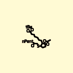 CCCCCC(=O)CSC1CCC2(OC(C)O2)C1CCCCCCC(=O)OC(C)(C)C